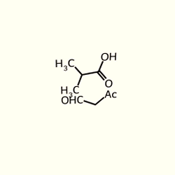 CC(=O)CC=O.CC(C)C(=O)O